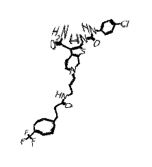 NC(=O)c1c(NC(=O)Nc2ccc(Cl)cc2)sc2c1CCN(CCCNC(=O)CCc1ccc(C(F)(F)F)cc1)C2